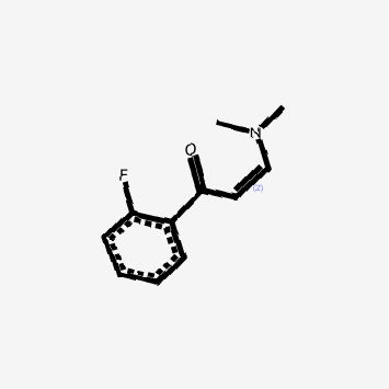 CN(C)/C=C\C(=O)c1ccccc1F